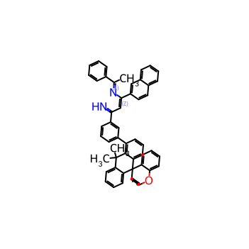 C/C(=N\C(=C/C(=N)c1cccc(-c2cccc3c2C(C)(C)c2ccccc2C32c3ccccc3Oc3ccccc32)c1)c1ccc2ccccc2c1)c1ccccc1